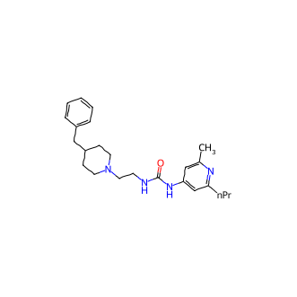 CCCc1cc(NC(=O)NCCN2CCC(Cc3ccccc3)CC2)cc(C)n1